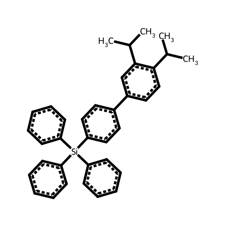 CC(C)c1ccc(-c2ccc([Si](c3ccccc3)(c3ccccc3)c3ccccc3)cc2)cc1C(C)C